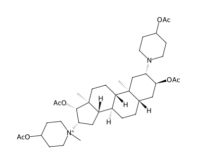 CC(=O)OC1CCN([C@H]2C[C@@]3(C)[C@@H](CC[C@@H]4[C@@H]3CC[C@@]3(C)[C@H]4C[C@H]([N+]4(C)CCC(OC(C)=O)CC4)[C@@H]3OC(C)=O)C[C@@H]2OC(C)=O)CC1